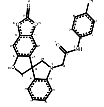 CC(C)c1ccc(NC(=O)CN2CC3(COc4cc5oc(=O)oc5cc43)c3ccccc32)cc1